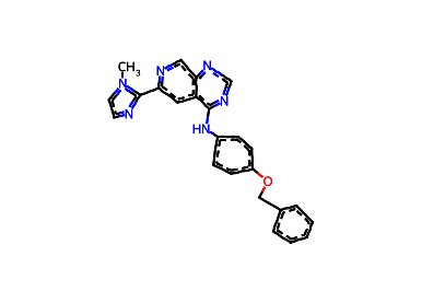 Cn1ccnc1-c1cc2c(Nc3ccc(OCc4ccccc4)cc3)ncnc2cn1